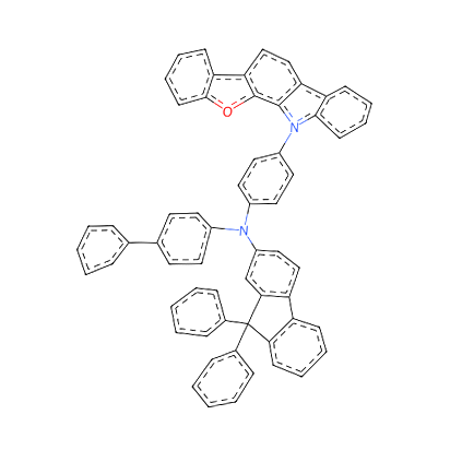 c1ccc(-c2ccc(N(c3ccc(-n4c5ccccc5c5ccc6c7ccccc7oc6c54)cc3)c3ccc4c(c3)C(c3ccccc3)(c3ccccc3)c3ccccc3-4)cc2)cc1